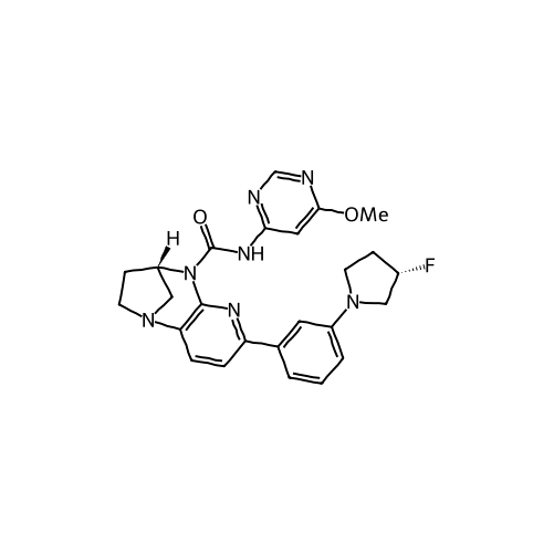 COc1cc(NC(=O)N2c3nc(-c4cccc(N5CC[C@H](F)C5)c4)ccc3N3CC[C@H]2C3)ncn1